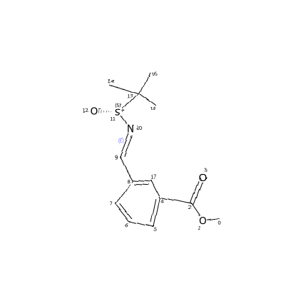 COC(=O)c1cccc(/C=N/[S@+]([O-])C(C)(C)C)c1